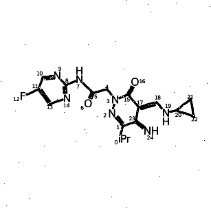 CC(C)C1=NN(CC(=O)Nc2ncc(F)cn2)C(=O)/C(=C/NC2CC2)C1=N